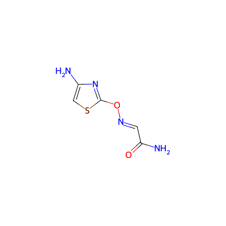 NC(=O)C=NOc1nc(N)cs1